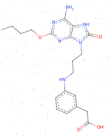 CCCCOc1nc(N)c2[nH]c(=O)n(CCCNc3cccc(CC(=O)O)c3)c2n1